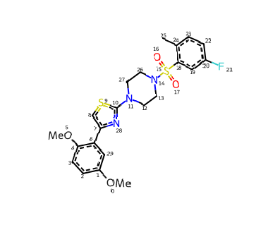 COc1ccc(OC)c(-c2csc(N3CCN(S(=O)(=O)c4cc(F)ccc4C)CC3)n2)c1